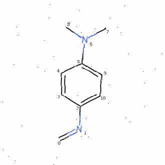 C=Nc1ccc(N(C)C)cc1